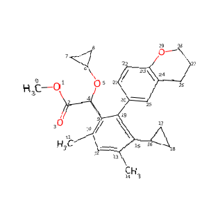 COC(=O)C(OC1CC1)c1c(C)cc(C)c(C2CC2)c1-c1ccc2c(c1)CCCO2